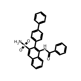 NS(=O)(=O)c1cc2ccccc2c(NC(=O)c2ccccc2)c1-c1ccc(-c2ccccc2)cc1